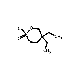 CCC1(CC)COP(=O)(Cl)OC1